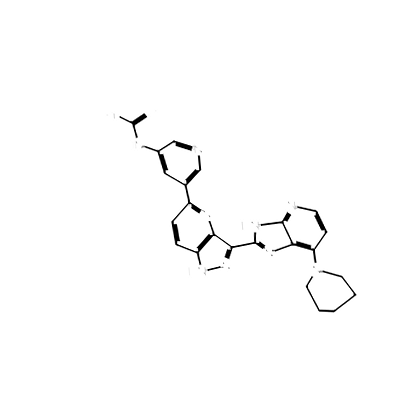 CCCC(=O)Nc1cncc(-c2ccc3[nH]nc(-c4nc5c(N6CCCCC6)ccnc5[nH]4)c3n2)c1